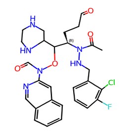 CC(=O)N(NCc1cccc(F)c1Cl)[C@H](CCC=O)C(ON(C=O)c1cc2ccccc2cn1)C1CNCCN1